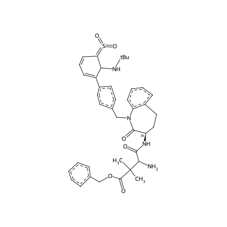 CC(C)(C)NC1C(c2ccc(CN3C(=O)[C@H](NC(=O)C(N)C(C)(C)C(=O)OCc4ccccc4)CCc4ccccc43)cc2)=CC=CC1=S(=O)=O